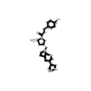 C[C@H]1C[C@@H](Cn2ccc3cc(-c4cn[nH]c4)cnc32)CN1C(=O)CCc1ccc(F)cc1